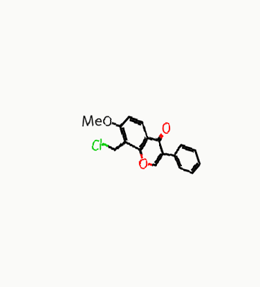 COc1ccc2c(=O)c(-c3ccccc3)coc2c1CCl